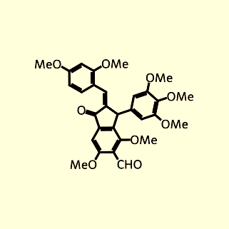 COc1ccc(/C=C2\C(=O)c3cc(OC)c(C=O)c(OC)c3C2c2cc(OC)c(OC)c(OC)c2)c(OC)c1